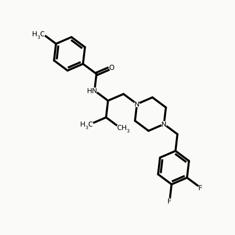 Cc1ccc(C(=O)NC(CN2CCN(Cc3ccc(F)c(F)c3)CC2)C(C)C)cc1